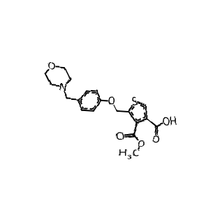 COC(=O)c1c(C(=O)O)csc1COc1ccc(CN2CCOCC2)cc1